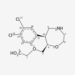 O=C(O)COC[C@@H]1OCCNC[C@@H]1c1ccc(Cl)c(Cl)c1